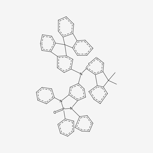 CC1(C)c2ccccc2-c2c(N(c3ccc4c(c3)N(c3ccccc3)P(=O)(c3ccccc3)N4c3ccccc3)c3ccc4c(c3)C3(c5ccccc5-c5ccccc53)c3ccccc3-4)cccc21